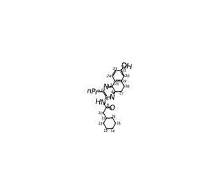 CCCc1nc2c(nc1NC(=O)CC1CCCCC1)CCc1cc(O)ccc1-2